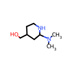 CN(C)C1CC(CO)CCN1